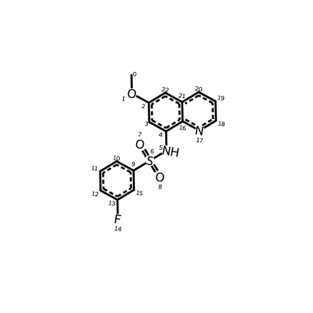 COc1cc(NS(=O)(=O)c2cccc(F)c2)c2ncccc2c1